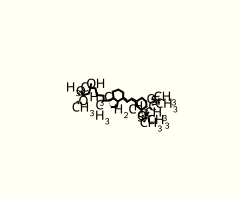 C=C1/C(=C\C=C2CCC[C@@]3(C)C2CC[C@@H]3[C@H](C)CCC[C@](C)(O)CC(=O)OCC)C[C@@H](O[Si](C)(C)C)C[C@H]1O[Si](C)(C)C